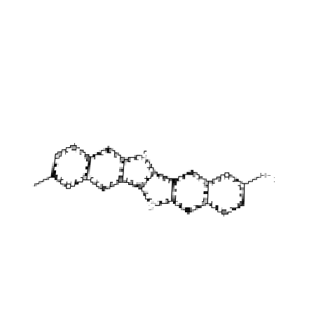 Cc1ccc2cc3sc4c5cc6cc(N)ccc6cc5sc4c3cc2c1